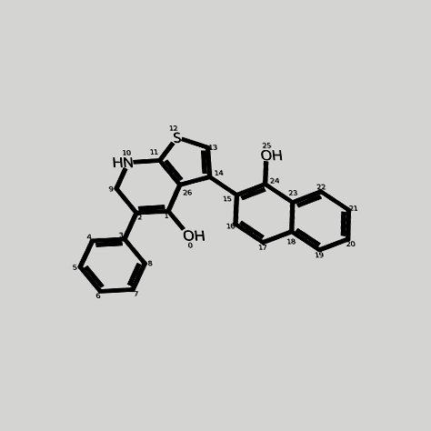 OC1=C(c2ccccc2)CNc2scc(-c3ccc4ccccc4c3O)c21